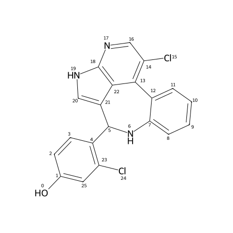 Oc1ccc(C2Nc3ccccc3-c3c(Cl)cnc4[nH]cc2c34)c(Cl)c1